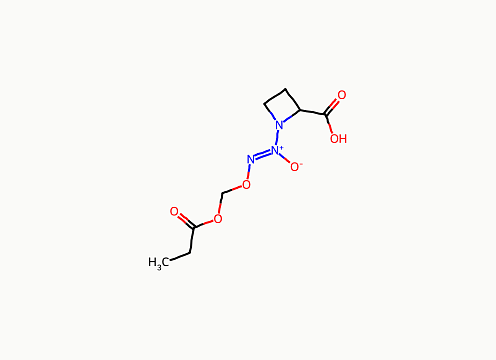 CCC(=O)OCON=[N+]([O-])N1CCC1C(=O)O